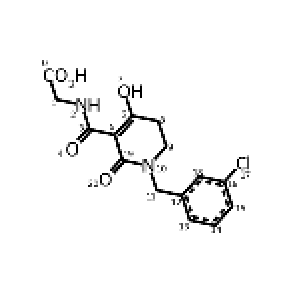 O=C(O)CNC(=O)C1=C(O)CCN(Cc2cccc(Cl)c2)C1=O